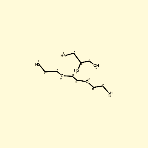 OCC(S)CS.SCCOCCOCCS